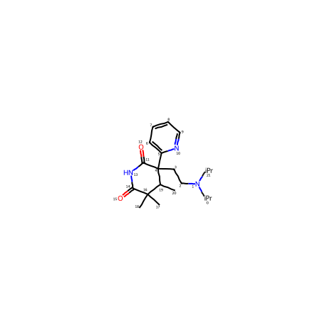 CC(C)N(CCC1(c2ccccn2)C(=O)NC(=O)C(C)(C)C1C)C(C)C